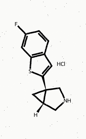 Cl.Fc1ccc2cc([C@@]34CNC[C@@H]3C4)sc2c1